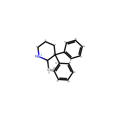 O=CC1NCCCC1(c1ccccc1)c1ccccc1